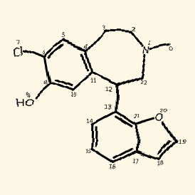 CN1CCc2cc(Cl)c(O)cc2C(c2cccc3ccoc23)C1